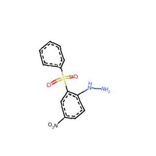 NNc1ccc([N+](=O)[O-])cc1S(=O)(=O)c1ccccc1